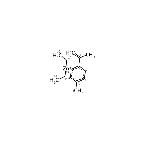 C=C(C)c1ccc(C)cc1.C[CH2][Zn][CH2]C